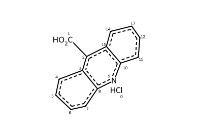 Cl.O=C(O)c1c2ccccc2nc2ccccc12